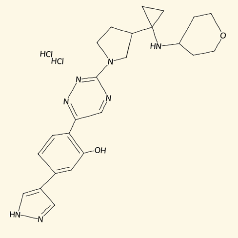 Cl.Cl.Oc1cc(-c2cn[nH]c2)ccc1-c1cnc(N2CCC(C3(NC4CCOCC4)CC3)C2)nn1